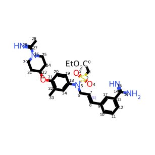 CCOC(=O)CS(=O)(=O)N(C/C=C/c1cccc(C(=N)N)c1)c1ccc(OC2CCN(C(C)=N)CC2)c(C)c1